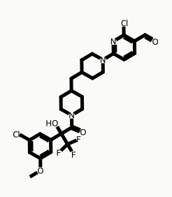 COc1cc(Cl)cc(C(O)(C(=O)N2CCC(CC3CCN(c4ccc(C=O)c(Cl)n4)CC3)CC2)C(F)(F)F)c1